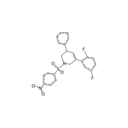 O=[N+]([O-])c1ccc(S(=O)(=O)N2CC(c3cc(F)ccc3F)=CC(c3ccccc3)C2)cc1